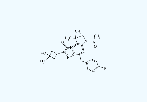 CC(=O)N1CC(C)(C)c2c1cc(Cc1ccc(F)cc1)c1nn(C3CC(C)(O)C3)c(=O)n21